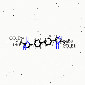 CCOC(=O)C(c1ncc(-c2ccc(-c3ccc(-c4cnc(C(C(=O)OCC)C(C)(C)C)[nH]4)cc3)cc2)[nH]1)C(C)(C)C